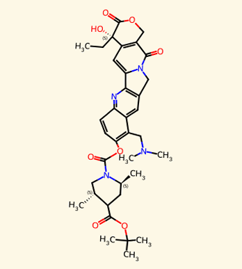 CC[C@@]1(O)C(=O)OCc2c1cc1n(c2=O)Cc2cc3c(CN(C)C)c(OC(=O)N4C[C@@H](C)C(C(=O)OC(C)(C)C)C[C@@H]4C)ccc3nc2-1